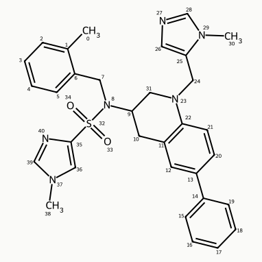 Cc1ccccc1CN(C1Cc2cc(-c3ccccc3)ccc2N(Cc2cncn2C)C1)S(=O)(=O)c1cn(C)cn1